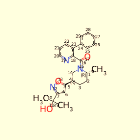 C[C@@H]1CC[C@@H](c2cc(C(C)(C)O)no2)CN1C(=O)c1ncccc1-c1ccccc1